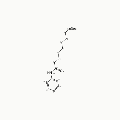 CCCCCCCCCCCCCCCCCC(=O)Nc1ccccn1